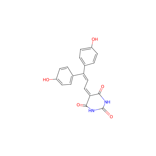 O=C1NC(=O)C(=CC=C(c2ccc(O)cc2)c2ccc(O)cc2)C(=O)N1